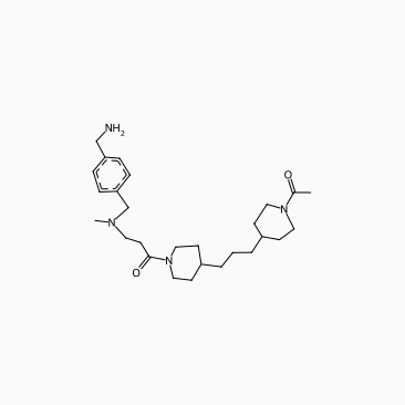 CC(=O)N1CCC(CCCC2CCN(C(=O)CCN(C)Cc3ccc(CN)cc3)CC2)CC1